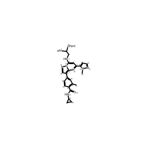 CCCCCC(CCC)CNc1cc(-c2ccnn2C)nc2c(-c3ccc(C(=O)NC4CC4)c(C)c3)cnn12